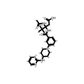 CC(=O)NC(CC(=O)O)(NC(=O)c1cccc(N2CCC(Nc3ncccn3)CC2)c1)C(C)(C)C